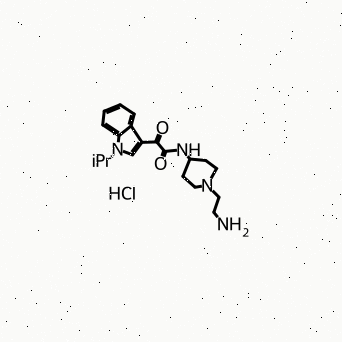 CC(C)n1cc(C(=O)C(=O)NC2CCN(CCN)CC2)c2ccccc21.Cl